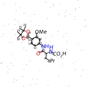 COc1cc(NC(=O)C(CC(C)C)NC(=O)O)ccc1B1OC(C)(C)C(C)(C)O1